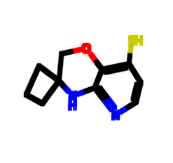 Sc1ccnc2c1OCC1(CCC1)N2